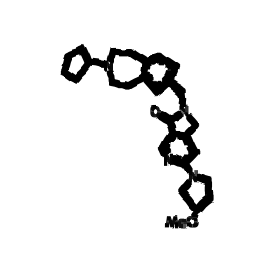 CO[C@@H]1CCN(c2cc3c(cn2)C(=O)N(Cc2ccc4c(c2)CCN(C2CCCC2)CC4)C3)C1